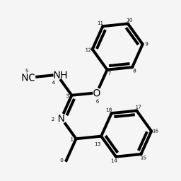 CC(/N=C(/NC#N)Oc1ccccc1)c1ccccc1